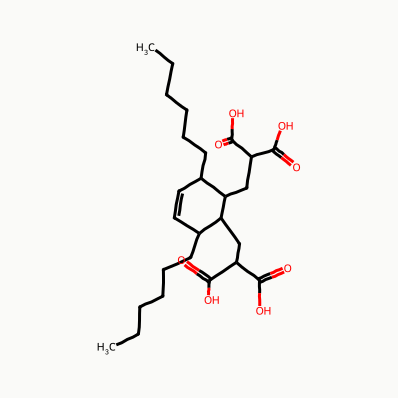 CCCCCCC1C=CC(CCCCCC)C(CC(C(=O)O)C(=O)O)C1CC(C(=O)O)C(=O)O